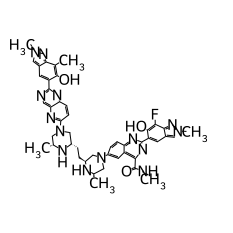 CNC(=O)c1nc(-c2cc3cn(C)nc3c(F)c2O)nc2ccc(N3C[C@H](CC[C@H]4CN(c5ccc6nc(-c7cc8cn(C)nc8c(C)c7O)ncc6n5)C[C@@H](C)N4)N[C@H](C)C3)cc12